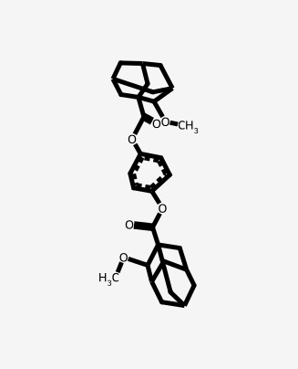 COC1C2CC3CC(C2)CC1(C(=O)Oc1ccc(OC(=O)C24CC5CC(CC(C5)C2OC)C4)cc1)C3